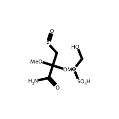 COC(CP=O)(OC)C(N)=O.O=S(=O)(O)OCO